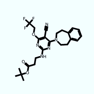 CC(C)(C)OC(=O)CCNc1nc(OCC(F)(F)F)c(C#N)c(N2CCc3ccccc3CC2)n1